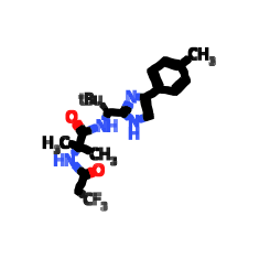 Cc1ccc(-c2c[nH]c([C@@H](NC(=O)C(C)(C)NC(=O)CC(F)(F)F)C(C)(C)C)n2)cc1